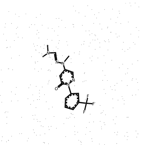 CN(C)C=NN(C)c1cnn(-c2cccc(C(F)(F)F)c2)c(=O)c1